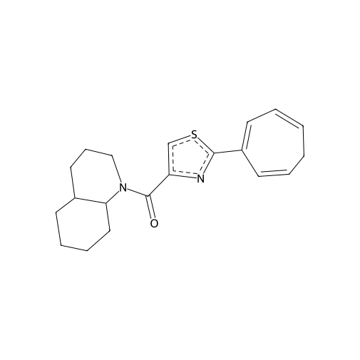 O=C(c1csc(C2=CC=CCC=C2)n1)N1CCCC2CCCCC21